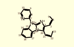 C/C=C\c1nc2n(-c3ccccn3)c3ccccc3n2c1/C=C\C